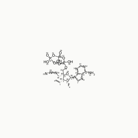 C=C[C@H]1[C@@H](F)[C@H](n2cnc3c(N)ncnc32)O[C@]1(CN=[N+]=[N-])COP(=O)(O)OP(=O)(O)OP(=O)(O)O